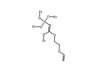 C=COCCOC(=N[Si](OCC)(OCC)OCC)OCC